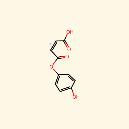 O=C(O)/C=C\C(=O)Oc1ccc(O)cc1